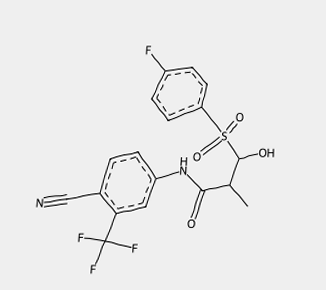 CC(C(=O)Nc1ccc(C#N)c(C(F)(F)F)c1)C(O)S(=O)(=O)c1ccc(F)cc1